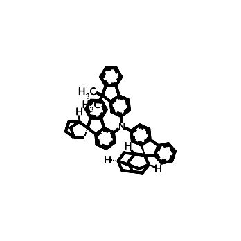 CC1(C)c2ccccc2-c2ccc(N(c3ccc4c(c3)[C@]3(c5ccccc5-4)[C@@H]4CC5C[C@@H](C4)C[C@H]3C5)c3cccc4c3-c3ccccc3[C@@]43CC4CC[C@H]3C4)cc21